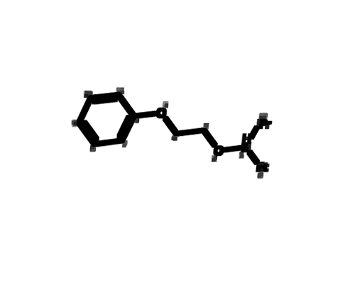 CC[SiH](OCCOc1ccccc1)C(C)C